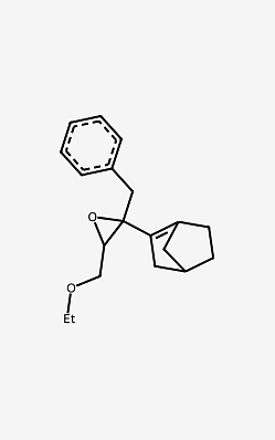 CCOCC1OC1(Cc1ccccc1)C1=C2CCC(C2)C1